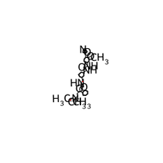 COc1cc(NC(=O)Nc2cccc(CNC(=O)OC(CCN(C)CC(C)C)c3ccccc3)c2)ccc1-c1cnco1